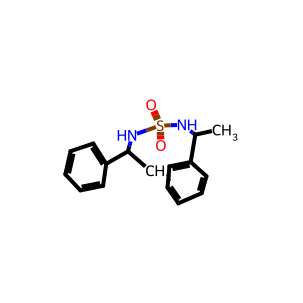 CC(NS(=O)(=O)NC(C)c1ccccc1)c1ccccc1